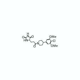 COc1cc(C2CCN(C(=O)CCC3NC(=O)NC3=O)CC2)cc(OC)c1Cl